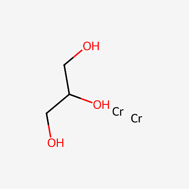 OCC(O)CO.[Cr].[Cr]